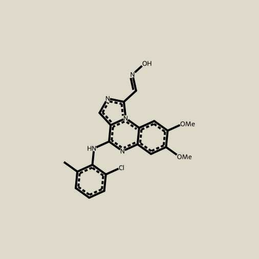 COc1cc2nc(Nc3c(C)cccc3Cl)c3cnc(/C=N/O)n3c2cc1OC